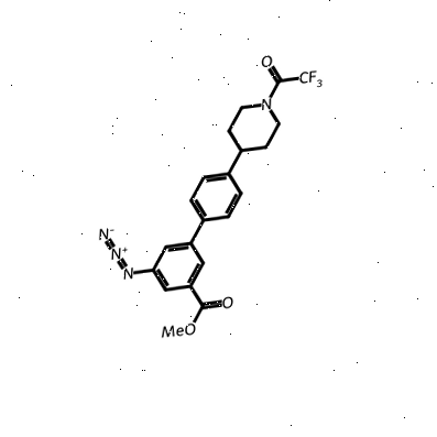 COC(=O)c1cc(N=[N+]=[N-])cc(-c2ccc(C3CCN(C(=O)C(F)(F)F)CC3)cc2)c1